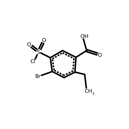 CCc1cc(Br)c(S(=O)(=O)Cl)cc1C(=O)O